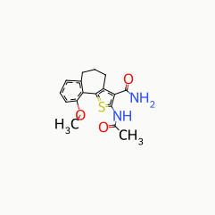 COc1cccc2c1-c1sc(NC(C)=O)c(C(N)=O)c1CCC2